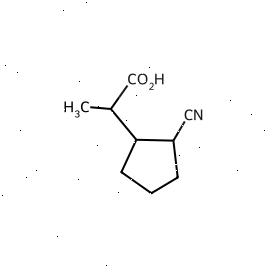 CC(C(=O)O)C1CCCC1C#N